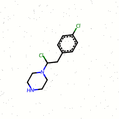 Clc1ccc(CC(Cl)N2CCNCC2)cc1